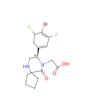 O=C(O)CN1C(=O)C2(CCCC2)NC[C@H]1C1=CC(F)=C(Br)C(F)C1